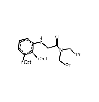 CCCCCCCCc1cccc(PCC(=O)N(CC(C)C)CC(C)C)c1CCCCCCCC